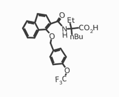 CCCCC(CC)(NC(=O)c1ccc2ccccc2c1OCc1ccc(OC(F)(F)F)cc1)C(=O)O